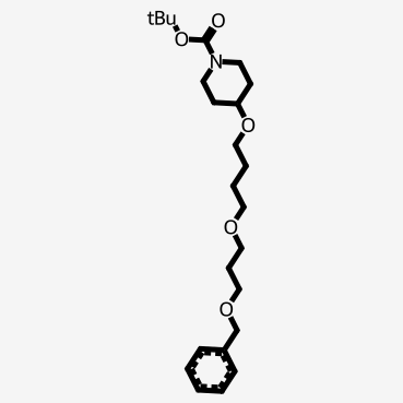 CC(C)(C)OC(=O)N1CCC(OCCCCOCCCOCc2ccccc2)CC1